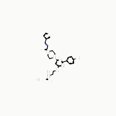 CC(=O)NCCNc1cc(N2CCN(C(=O)/C=C/c3ccsc3)CC2)nc(-c2ccc(Cl)cc2)n1